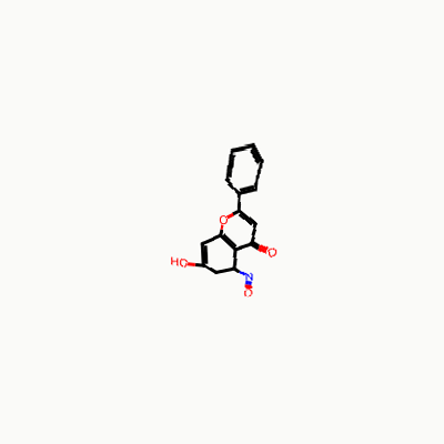 O=NC1CC(O)=Cc2oc(-c3ccccc3)cc(=O)c21